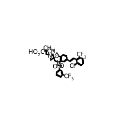 CC(C)(CN1CC2(C1)CN(S(=O)(=O)c1cccc(C(F)(F)F)c1)c1cc(/C=C/c3c(Cl)cccc3C(F)(F)F)ccc1O2)C(=O)O